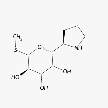 CSC1O[C@H]([C@H]2CCCN2)C(O)C(O)[C@H]1O